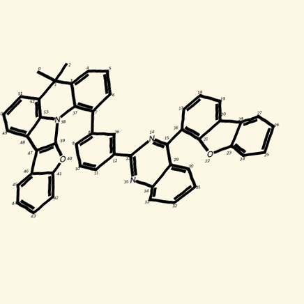 CC1(C)c2cccc(-c3cccc(-c4nc(-c5cccc6c5oc5ccccc56)c5ccccc5n4)c3)c2-n2c3oc4ccccc4c3c3cccc1c32